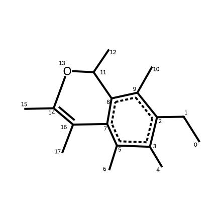 CCc1c(C)c(C)c2c(c1C)C(C)OC(C)=C2C